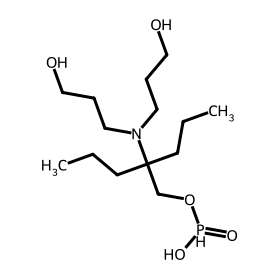 CCCC(CCC)(CO[PH](=O)O)N(CCCO)CCCO